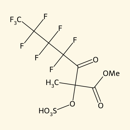 COC(=O)C(C)(OS(=O)(=O)O)C(=O)C(F)(F)C(F)(F)C(F)(F)C(F)(F)F